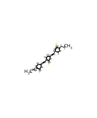 CCCc1ccc(C#Cc2ccc(C#Cc3ccc(CCC)c(F)c3)c(F)c2)cc1F